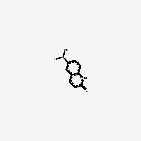 O=c1ccc2cc(B(O)O)ccc2[nH]1